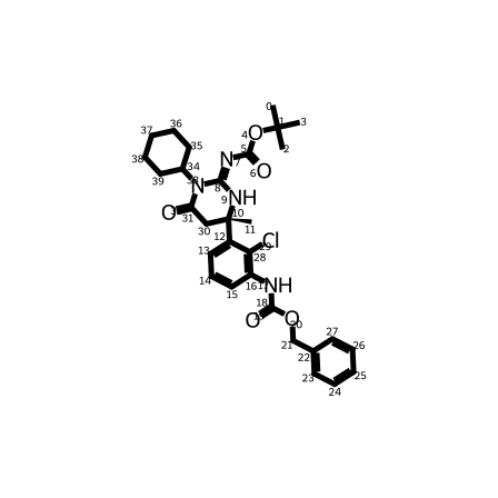 CC(C)(C)OC(=O)N=C1N[C@](C)(c2cccc(NC(=O)OCc3ccccc3)c2Cl)CC(=O)N1C1CCCCC1